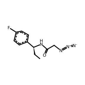 CC[C@H](NC(=O)CN=[N+]=[N-])c1ccc(F)cc1